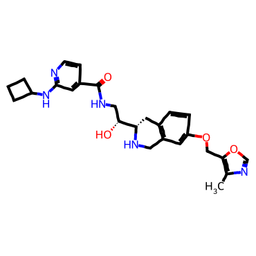 Cc1ncoc1COc1ccc2c(c1)CN[C@H]([C@H](O)CNC(=O)c1ccnc(NC3CCC3)c1)C2